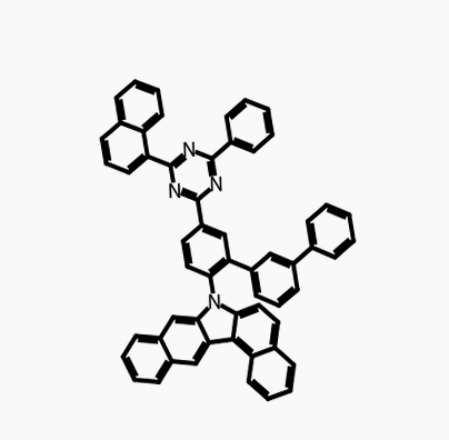 c1ccc(-c2cccc(-c3cc(-c4nc(-c5ccccc5)nc(-c5cccc6ccccc56)n4)ccc3-n3c4cc5ccccc5cc4c4c5ccccc5ccc43)c2)cc1